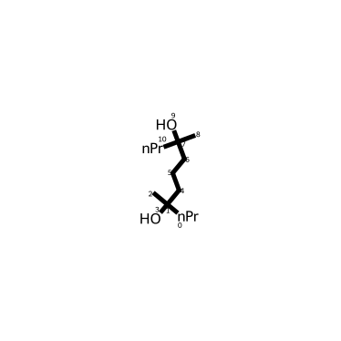 CCCC(C)(O)CCCC(C)(O)CCC